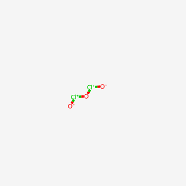 [O-][Cl+]O[Cl+][O-]